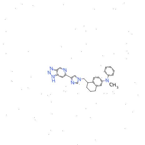 CN(c1ccccc1)c1ccc2c(c1)CCCC2Cn1cnc(-c2cc3[nH]nnc3cn2)c1